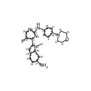 Cn1c(-c2nc(Nc3ccc(N4CCOCC4)cc3)ncc2F)cc2ccc(N)cc21